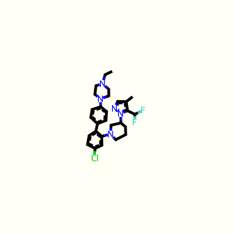 CCN1CCN(c2ccc(-c3ccc(Cl)cc3N3CCCC(n4ncc(C)c4C(F)F)C3)cc2)CC1